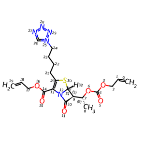 C=CCOC(=O)O[C@H](C)[C@H]1C(=O)N2C(C(=O)OCC=C)=C(CCCCn3cnnn3)S[C@H]12